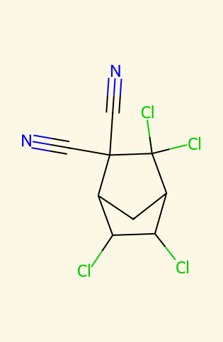 N#CC1(C#N)C2CC(C(Cl)C2Cl)C1(Cl)Cl